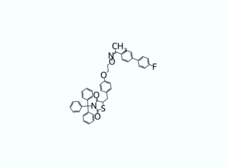 CC(=NOCCOc1ccc(CC2SC(=O)N(C(c3ccccc3)(c3ccccc3)c3ccccc3)C2=O)cc1)c1ccc(-c2ccc(F)cc2)cc1